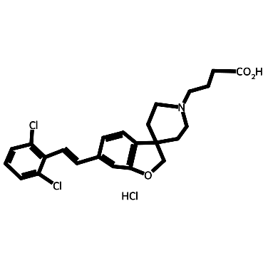 Cl.O=C(O)CCCN1CCC2(CC1)COc1cc(/C=C/c3c(Cl)cccc3Cl)ccc12